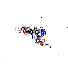 COC(=O)c1cccc(NC2CCn3nnc(C)c3-c3ccc(C4=CCN(C(=O)OC(C)(C)C)CC4)cc32)c1